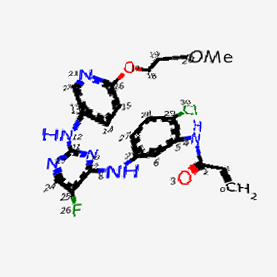 C=CC(=O)Nc1cc(Nc2nc(Nc3ccc(OCCOC)nc3)ncc2F)ccc1Cl